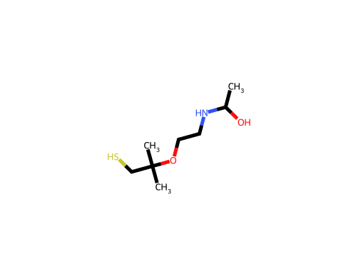 CC(O)NCCOC(C)(C)CS